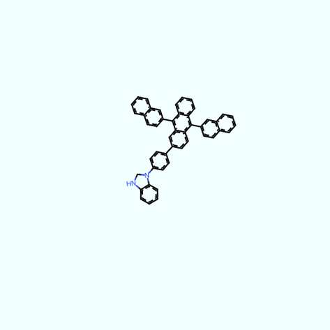 c1ccc2c(c1)NCN2c1ccc(-c2ccc3c(-c4ccc5ccccc5c4)c4ccccc4c(-c4ccc5ccccc5c4)c3c2)cc1